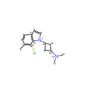 Cc1ccc2ccn(C3CC(N(C)C)C3)c2c1F